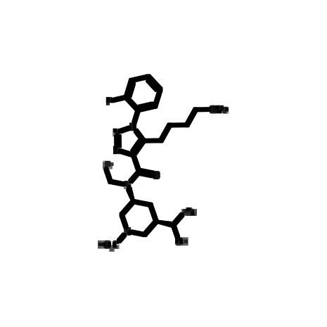 CCCCC(O)[C@@H]1C[C@H](N(CC(C)C)C(=O)c2nnn(-c3ccccc3F)c2CCCCOC)CN(C(=O)O)C1